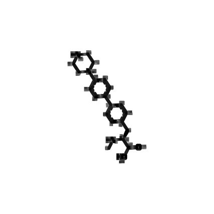 CN[C@@H](Cc1ccc(-c2ccc(N3CCNCC3)cc2)cc1)C(=O)O